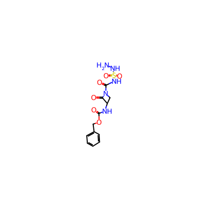 NNS(=O)(=O)NC(=O)N1CC(NC(=O)OCc2ccccc2)C1=O